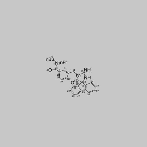 CCCCN(CCC)C(=O)c1cc(CN2C(=N)NC(c3ccccc3)(c3ccccc3)C2=O)ccn1